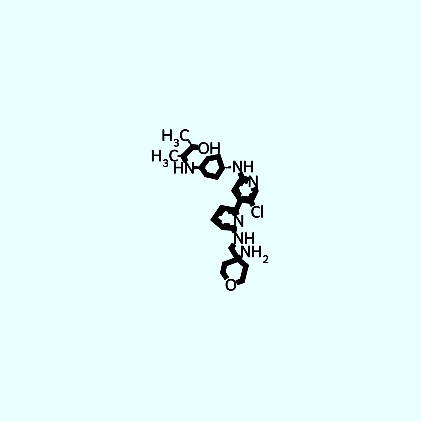 C[C@H](O)[C@@H](C)N[C@H]1CC[C@H](Nc2cc(-c3cccc(NCC4(N)CCOCC4)n3)c(Cl)cn2)CC1